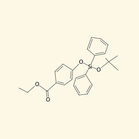 CCOC(=O)c1ccc(O[Si](OC(C)(C)C)(c2ccccc2)c2ccccc2)cc1